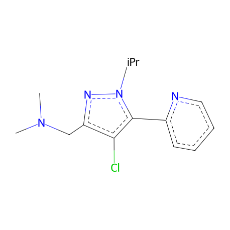 CC(C)n1nc(CN(C)C)c(Cl)c1-c1ccccn1